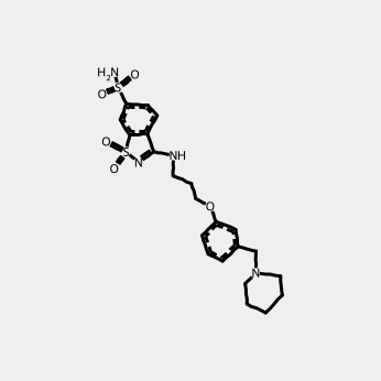 NS(=O)(=O)c1ccc2c(c1)S(=O)(=O)N=C2NCCCOc1cccc(CN2CCCCC2)c1